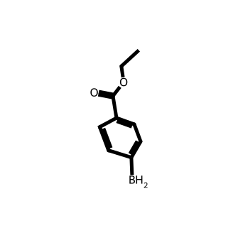 Bc1ccc(C(=O)OCC)cc1